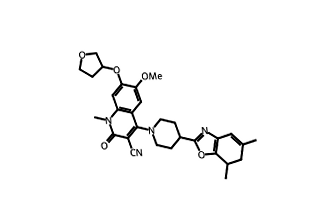 COc1cc2c(N3CCC(c4nc5c(o4)C(C)CC(C)=C5)CC3)c(C#N)c(=O)n(C)c2cc1OC1CCOC1